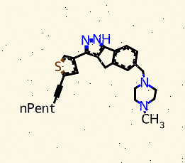 CCCCCC#Cc1cc(-c2n[nH]c3c2Cc2cc(CN4CCN(C)CC4)ccc2-3)cs1